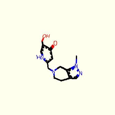 Cn1ncc2c1CN(Cc1cc(=O)c(O)c[nH]1)CC2